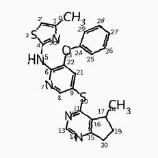 Cc1csc(Nc2ncc(Sc3ncnc4c3C(C)CC4)cc2Oc2ccccc2)n1